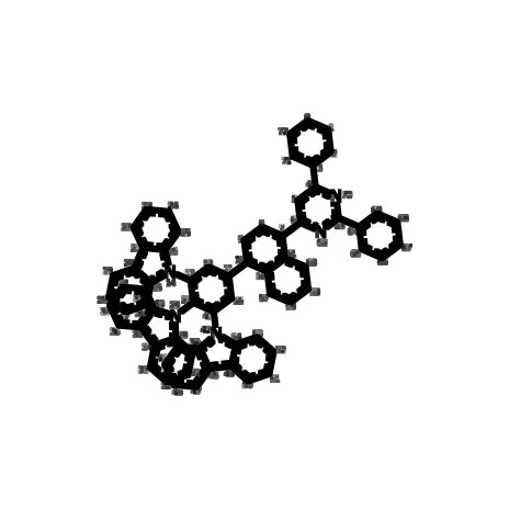 c1ccc(-c2cc(-c3ccc(-c4cc(-n5c6ccccc6c6ccccc65)c(-n5c6ccccc6c6ccccc65)c(-n5c6ccccc6c6ccccc65)c4)c4ccccc34)nc(-c3ccccc3)n2)cc1